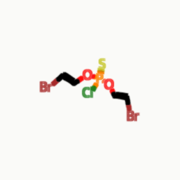 S=P(Cl)(OC=CBr)OC=CBr